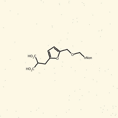 CCCCCCCCCCOCc1ccc(CC(C(=O)O)C(=O)O)o1